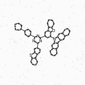 c1ccc(-c2ccc(-c3nc(-c4ccc5c(c4)sc4ccccc45)nc(-c4cc(-n5c6cc7ccccc7cc6c6cc7ccccc7cc65)c5oc6ccccc6c5c4)n3)cc2)cc1